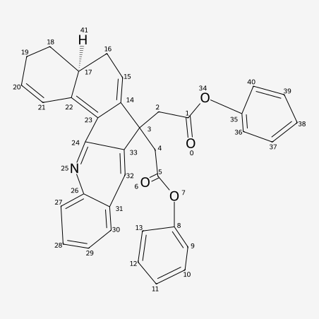 O=C(CC1(CC(=O)Oc2ccccc2)C2=CC[C@@H]3CCC=CC3=C2c2nc3ccccc3cc21)Oc1ccccc1